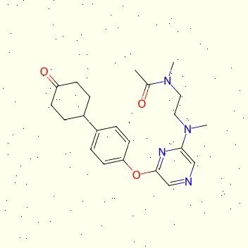 CC(=O)N(C)CCN(C)c1cncc(Oc2ccc(C3CCC(=O)CC3)cc2)n1